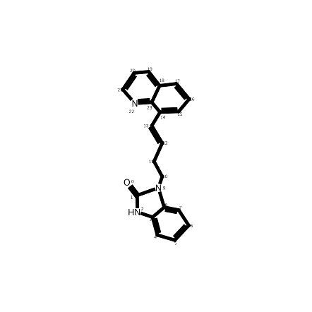 O=c1[nH]c2ccccc2n1CCC=Cc1cccc2cccnc12